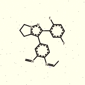 C=Nc1cc(-c2c(-c3cc(F)ccc3F)nn3c2CCC3)ccc1/N=C\C